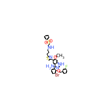 COc1cc2c(cc1-c1csc(CCCNCCS(=O)(=O)c3ccccc3)n1)C(N)(c1cccc(Br)c1OCc1cccc(F)c1)N=CN2